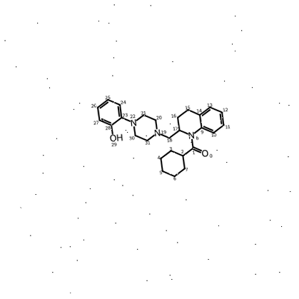 O=C(C1CCCCC1)N1c2ccccc2CCC1CN1CCN(c2ccccc2O)CC1